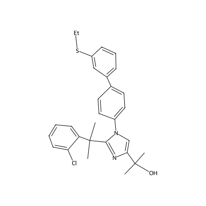 CCSc1cccc(-c2ccc(-n3cc(C(C)(C)O)nc3C(C)(C)c3ccccc3Cl)cc2)c1